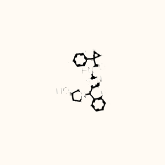 O=C(Nc1ncc(C(c2ccccc2Cl)N2CC[C@@H](O)C2)s1)C1(c2ccccc2)CC1